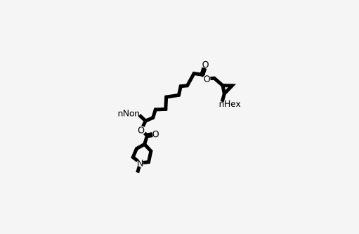 CCCCCCCCCC(CCCCCCCCC(=O)OCC1CC1CCCCCC)OC(=O)C1CCN(C)CC1